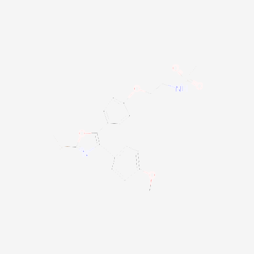 COc1ccc(-c2nc(SC)oc2-c2ccc(OCCNS(C)(=O)=O)cc2)cc1